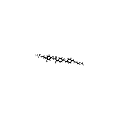 CCCCCC1CCC(COC2CCC(C(F)C(F)COc3ccc(OCCC)c(F)c3)CC2)CC1